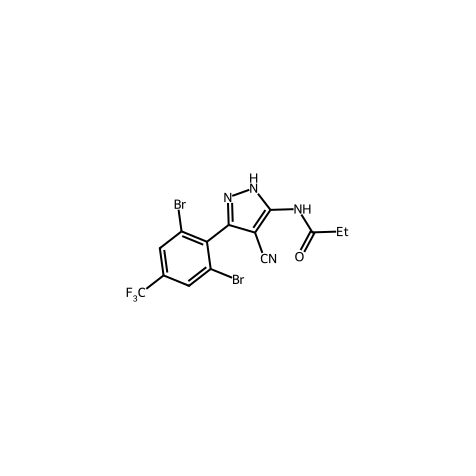 CCC(=O)Nc1[nH]nc(-c2c(Br)cc(C(F)(F)F)cc2Br)c1C#N